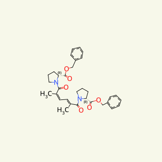 CC(=CC=C(C)C(=O)N1CCC[C@@H]1C(=O)OCc1ccccc1)C(=O)N1CCC[C@@H]1C(=O)OCc1ccccc1